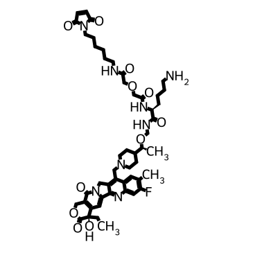 CC[C@@]1(O)C(=O)OCc2c1cc1n(c2=O)Cc2c-1nc1cc(F)c(C)cc1c2CN1CCC([C@H](C)OCNC(=O)[C@H](CCCCN)NC(=O)COCC(=O)NCCCCCCN2C(=O)C=CC2=O)CC1